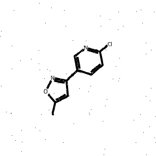 Cc1[c]c(-c2ccc(Cl)nc2)no1